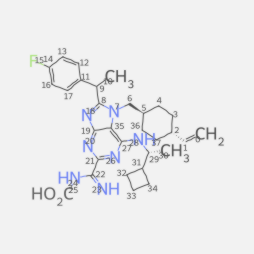 C=C[C@H]1CC[C@H](Cn2c(C(C)c3ccc(F)cc3)nc3nc(C(=N)NC(=O)O)nc(N[C@H](C)C4CCC4)c32)CC1